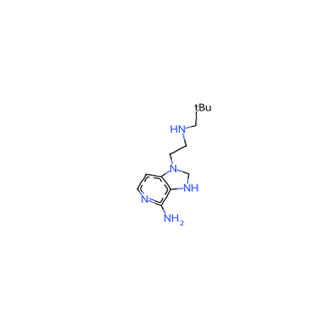 CC(C)(C)CNCCN1CNc2c1ccnc2N